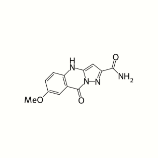 COc1ccc2[nH]c3cc(C(N)=O)nn3c(=O)c2c1